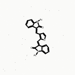 CC(=O)N1C(=O)C(=Cc2ccoc2C=C2C(=O)N(C(C)=O)c3ccccc32)c2ccccc21